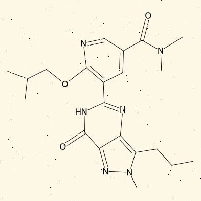 CCCc1c2nc(-c3cc(C(=O)N(C)C)cnc3OCC(C)C)[nH]c(=O)c2nn1C